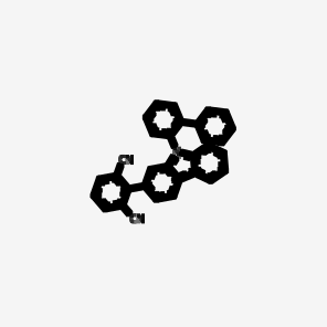 N#Cc1cccc(C#N)c1-c1ccc2c3ccccc3n(-c3ccccc3-c3ccccc3)c2c1